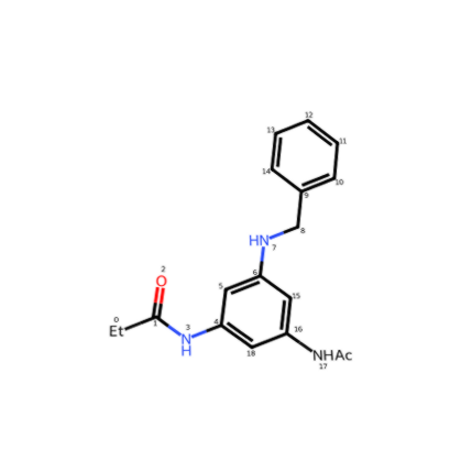 CCC(=O)Nc1cc(NCc2ccccc2)cc(NC(C)=O)c1